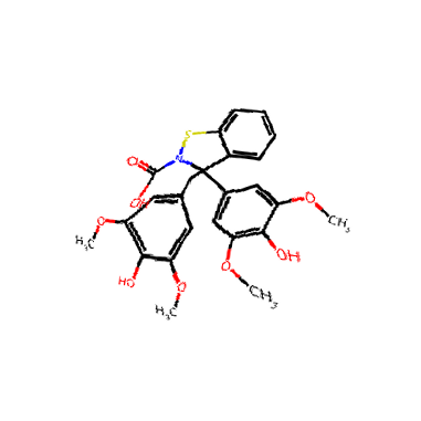 COc1cc(C2(c3cc(OC)c(O)c(OC)c3)c3ccccc3SN2C(=O)O)cc(OC)c1O